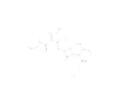 C=CC1=C(C(=O)OCOC(C)=O)N2C(=O)C(NC(=O)/C(=N\OC)c3csc(N)n3)[C@H]2SC1